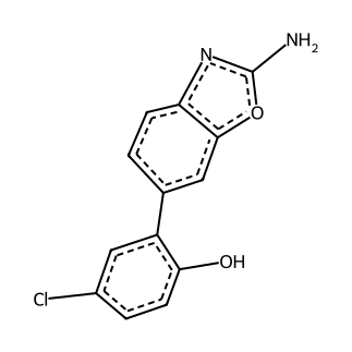 Nc1nc2ccc(-c3cc(Cl)ccc3O)cc2o1